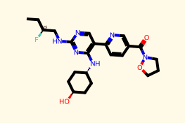 CC[C@H](F)CNc1ncc(-c2ccc(C(=O)N3CCCO3)cn2)c(N[C@H]2CC[C@H](O)CC2)n1